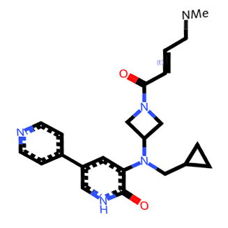 CNC/C=C/C(=O)N1CC(N(CC2CC2)c2cc(-c3ccncc3)c[nH]c2=O)C1